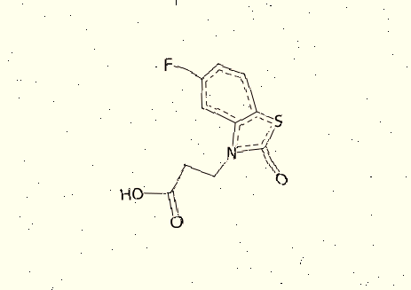 O=C(O)CCn1c(=O)sc2ccc(F)cc21